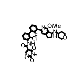 COc1nc(-c2cccc(-c3cccc(NC(=O)c4cn(C)c(=O)n(C)c4=O)c3Cl)c2F)cc2c1C(NC1CCOCC1)CC2